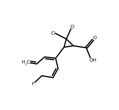 C=C/C=C(\C=C/CF)C1C(C(=O)O)C1(Cl)Cl